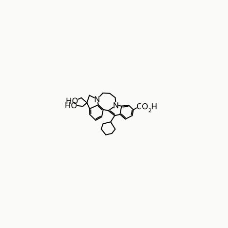 O=C(O)c1ccc2c(C3CCCCC3)c3n(c2c1)CCCN1CC(CO)(CO)c2cccc-3c21